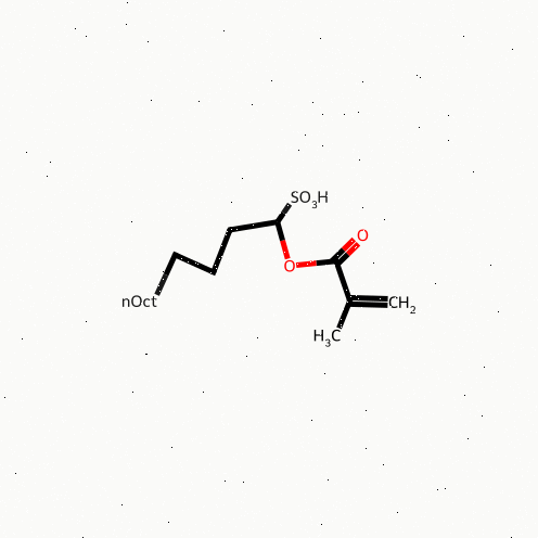 C=C(C)C(=O)OC(CCCCCCCCCCC)S(=O)(=O)O